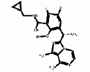 Cc1nc([C@@H](C)c2cc(Cl)c(F)c(C(O)NCC3CC3)c2OC(C)C)n2ccnc(N)c12